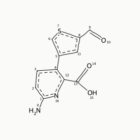 Nc1ccc(-c2csc(C=O)c2)c(C(=O)O)n1